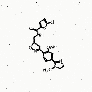 COc1cc(C2=NCCN2C)ccc1C1=NOC(CNC(=O)c2ccc(Cl)s2)C1